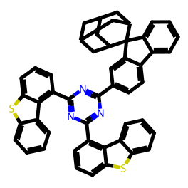 c1ccc2c(c1)-c1ccc(-c3nc(-c4cccc5sc6ccccc6c45)nc(-c4cccc5sc6ccccc6c45)n3)cc1C21C2CC3CC(C2)CC1C3